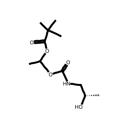 [CH2][C@H](O)CNC(=O)OC(C)OC(=O)C(C)(C)C